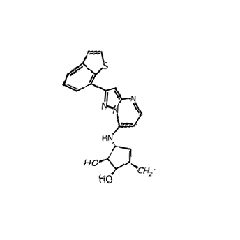 [CH2][C@@H]1C[C@@H](Nc2ccnc3cc(-c4cccc5ccsc45)nn23)[C@H](O)[C@@H]1O